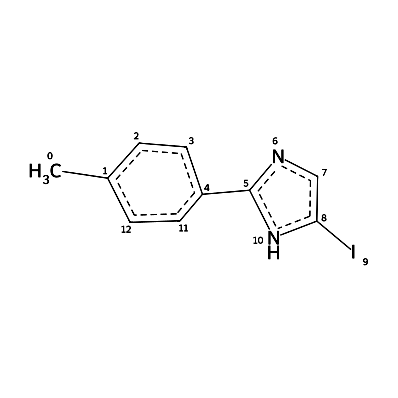 Cc1ccc(-c2ncc(I)[nH]2)cc1